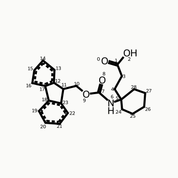 O=C(O)CCC1(NC(=O)OCC2c3ccccc3-c3ccccc32)CCCCC1